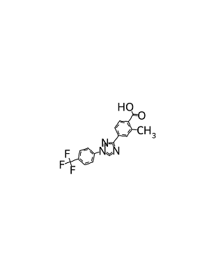 Cc1cc(-c2ncn(-c3ccc(C(F)(F)F)cc3)n2)ccc1C(=O)O